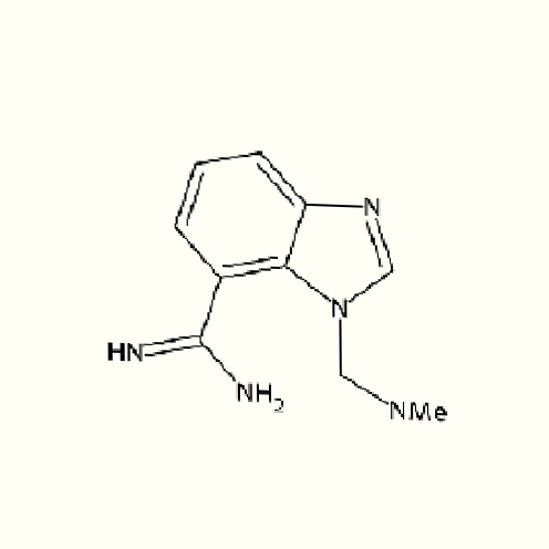 CNCn1cnc2cccc(C(=N)N)c21